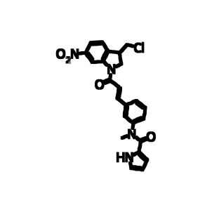 CN(C(=O)c1ccc[nH]1)c1cccc(/C=C/C(=O)N2CC(CCl)c3ccc([N+](=O)[O-])cc32)c1